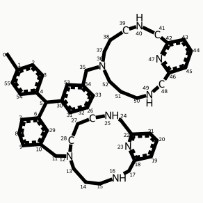 Cc1ccc(C(c2cccc(CN3CCCNCc4cccc(n4)CNCCC3)c2)c2cccc(CN3CCCNCc4cccc(n4)CNCCC3)c2)cc1